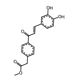 COC(=O)Cc1ccc(C(=O)C=Cc2ccc(O)c(O)c2)cc1